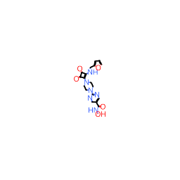 O=C(NO)c1cnc(N2CCN(c3c(NCc4ccco4)c(=O)c3=O)CC2)nc1